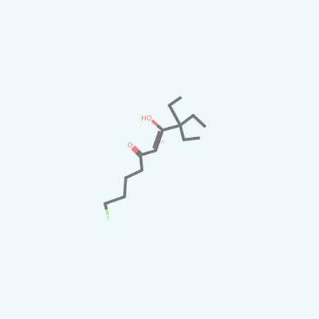 CCC(CC)(CC)/C(O)=C/C(=O)CCCCF